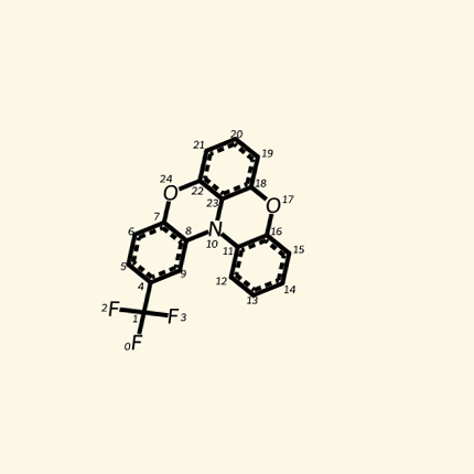 FC(F)(F)c1ccc2c(c1)N1c3ccccc3Oc3cccc(c31)O2